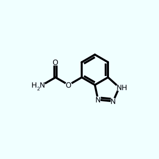 NC(=O)Oc1cccc2[nH]nnc12